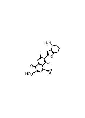 NC1CCCc2sc(-c3c(F)cc4c(=O)c(C(=O)O)cn(C5CC5)c4c3Cl)cc21